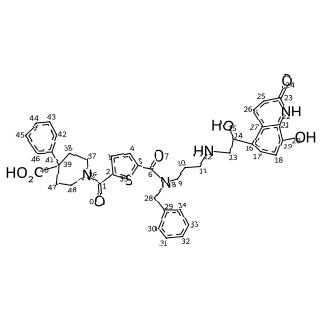 O=C(c1ccc(C(=O)N(CCCNCC(O)c2ccc(O)c3[nH]c(=O)ccc23)Cc2ccccc2)s1)N1CCC(C(=O)O)(c2ccccc2)CC1